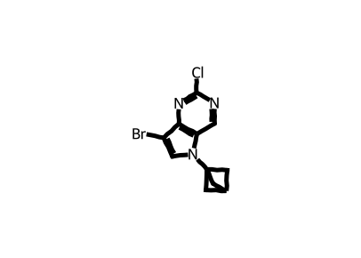 Clc1ncc2c(n1)c(Br)cn2C12CC(C1)C2